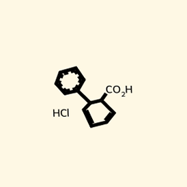 Cl.O=C(O)C1C=CC=CC1c1ccccc1